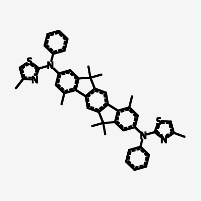 Cc1csc(N(c2ccccc2)c2cc(C)c3c(c2)C(C)(C)c2cc4c(cc2-3)C(C)(C)c2cc(N(c3ccccc3)c3nc(C)cs3)cc(C)c2-4)n1